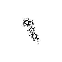 COC1CCC(C)(N2CCC(N3COc4ccc(C)cc43)CC2)CC1